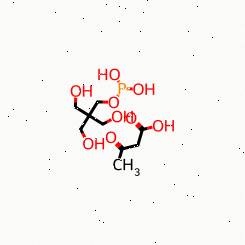 CC(=O)CC(=O)O.OCC(CO)(CO)COP(O)O